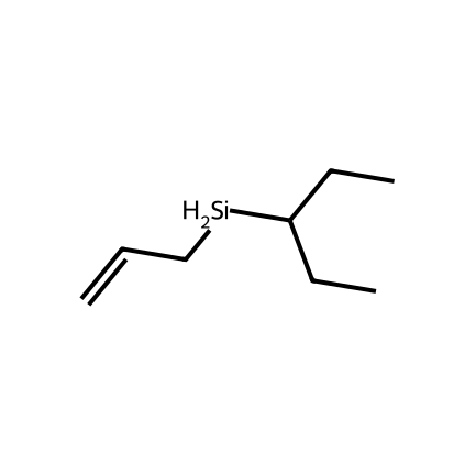 C=CC[SiH2]C(CC)CC